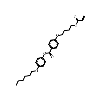 C=CC(=O)OCCCCOc1ccc(C(=O)Oc2ccc(OCCCCCC)cc2)cc1